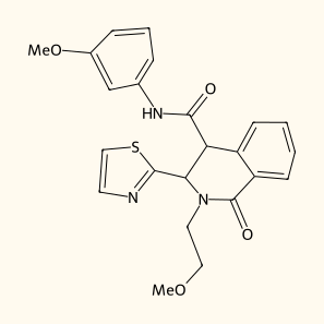 COCCN1C(=O)c2ccccc2C(C(=O)Nc2cccc(OC)c2)C1c1nccs1